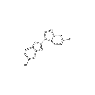 Fc1ccc2c(-c3cc4ccc(Br)cc4o3)[c]oc2c1